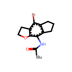 CC(C)(C)C(=O)Nc1c2c(c(Br)c3c1OCC3)CCC2